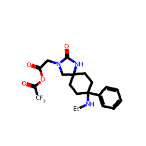 CCNC1(c2ccccc2)CCC2(CC1)CN(CC(=O)OC(=O)C(F)(F)F)C(=O)N2